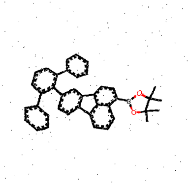 CC1(C)OB(c2ccc3c4c(cccc24)-c2ccc(-c4c(-c5ccccc5)cccc4-c4ccccc4)cc2-3)OC1(C)C